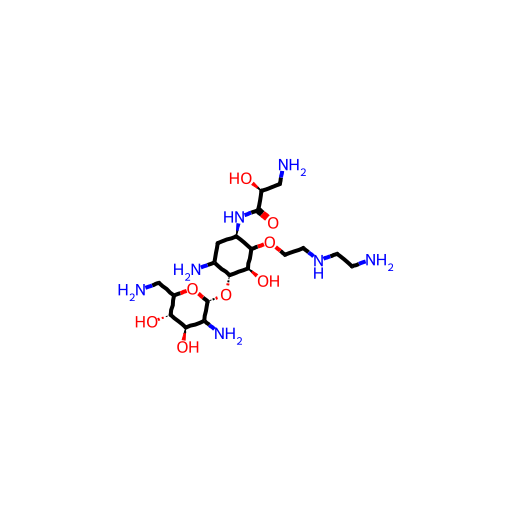 NCCNCCOC1[C@@H](O)[C@H](O[C@H]2OC(CN)[C@@H](O)[C@H](O)C2N)C(N)C[C@H]1NC(=O)[C@@H](O)CN